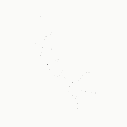 CCCCCn1c(-c2ccc(SC(C)(C)C(=O)OC(C)(C)C)cc2)nc(C(=O)O)c1C